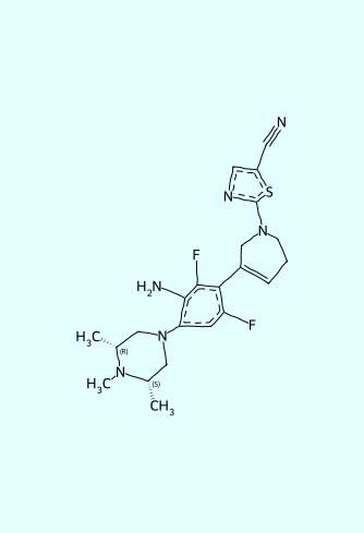 C[C@@H]1CN(c2cc(F)c(C3=CCCN(c4ncc(C#N)s4)C3)c(F)c2N)C[C@H](C)N1C